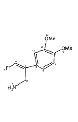 COc1ccc(C(=CF)CN)cc1OC